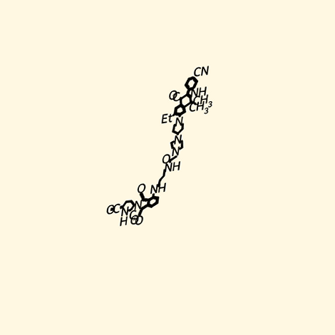 CCc1cc2c(cc1N1CCC(N3CCN(CC(=O)NCCCCNc4cccc5c(=C=O)n(C6CCC(=C=O)NC6=C=O)c(=C=O)c45)CC3)CC1)C(C)(C)c1[nH]c3cc(C#N)ccc3c1C2=C=O